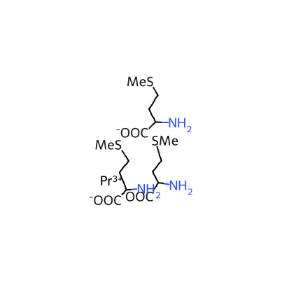 CSCCC(N)C(=O)[O-].CSCCC(N)C(=O)[O-].CSCCC(N)C(=O)[O-].[Pr+3]